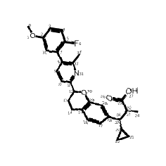 COc1ccc(F)c(-c2ccc(C3CCc4ccc([C@H](C5CC5)[C@H](C)C(=O)O)cc4O3)nc2C)c1